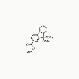 CCCOC(=O)c1ccc2c(c1)C(OC)(OC)c1ccccc1-2